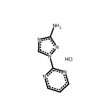 Cl.Nc1ncn(-c2ncccn2)n1